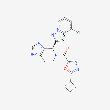 O=C(c1nnc(C2CCC2)o1)N1CCc2[nH]cnc2[C@H]1c1cc2c(Cl)cccn2n1